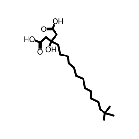 CC(C)(C)CCCCCCCCCCCCC(O)(CC(=O)O)CC(=O)O